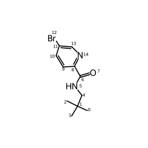 CC(C)(C)CNC(=O)c1ccc(Br)cn1